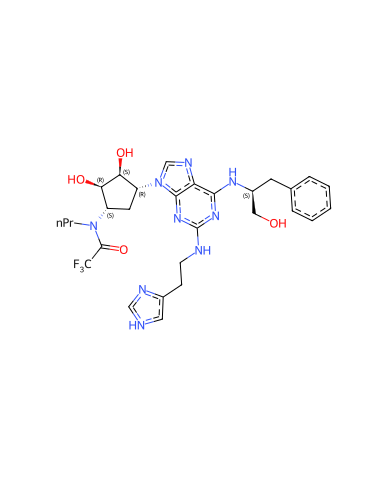 CCCN(C(=O)C(F)(F)F)[C@H]1C[C@@H](n2cnc3c(N[C@H](CO)Cc4ccccc4)nc(NCCc4c[nH]cn4)nc32)[C@H](O)[C@@H]1O